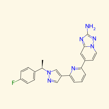 C[C@H](c1ccc(F)cc1)n1cc(-c2cccc(-c3ccn4nc(N)nc4c3)n2)cn1